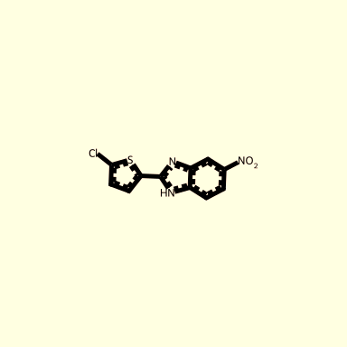 O=[N+]([O-])c1ccc2[nH]c(-c3ccc(Cl)s3)nc2c1